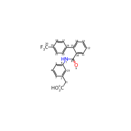 O=C(O)Cc1cccc(NC(=O)c2ccccc2-c2ccc(C(F)(F)F)cc2)c1